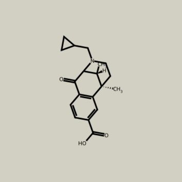 C[C@H]1C2C(=O)c3ccc(C(=O)O)cc3[C@]1(C)CCN2CC1CC1